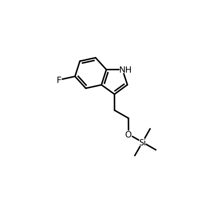 C[Si](C)(C)OCCc1c[nH]c2ccc(F)cc12